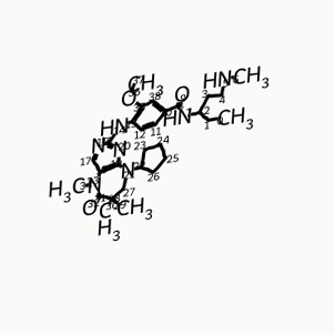 CCC(CCNC)NC(=O)c1ccc(Nc2ncc3c(n2)N(C2CCCC2)CC(C)(C)C(=O)N3C)c(OC)c1